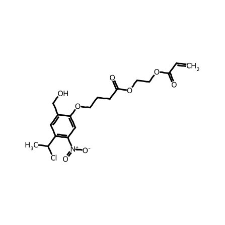 C=CC(=O)OCCOC(=O)CCCOc1cc([N+](=O)[O-])c(C(C)Cl)cc1CO